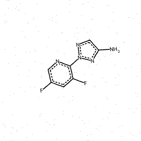 Nc1cnn(-c2ncc(F)cc2F)n1